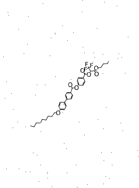 CCCCCCCCCOc1ccc(-c2ccc(C(=O)Oc3ccc(C(=O)OC(C(=O)OCCCC)C(F)(F)F)cc3)cc2)cc1